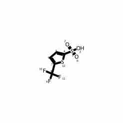 O=S(=O)(O)c1ccc(C(F)(F)F)s1